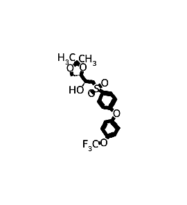 CC1(C)OC[C@@H]([C@@H](O)CS(=O)(=O)c2ccc(Oc3ccc(OC(F)(F)F)cc3)cc2)O1